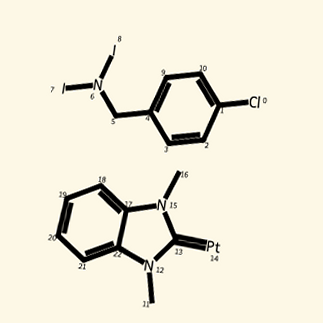 Clc1ccc(CN(I)I)cc1.Cn1[c](=[Pt])n(C)c2ccccc21